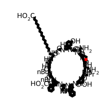 CCCC[C@H]1C(=O)N(C)[C@@H](CCCC)C(=O)N[C@@H](CC(C)C)CN[C@H](CNCCCCCCCCCCCCCCCCCCC(=O)O)CSCC(=O)N[C@@H](Cc2ccc(O)cc2)C(=O)N(C)[C@@H](C)C(=O)N[C@@H](CC(N)=O)C(=O)N2CCC[C@H]2C(=O)N[C@@H](CN)C(=O)N[C@@H](CC(C)C)C(=O)N2C[C@H](O)CC2C(=O)N[C@@H](Cc2c[nH]c3ccccc23)C(=O)N[C@@H](CCN)C(=O)N[C@@H](Cc2cn(CC(=O)O)c3ccccc23)C(=O)N1C